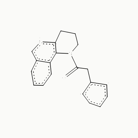 O=C(Cc1ccccc1)N1CCCc2ncc3ccccc3c21